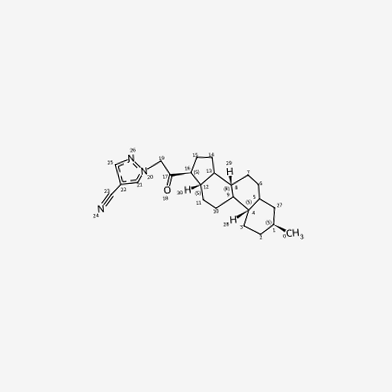 C[C@H]1CC[C@H]2C(CC[C@@H]3C2CC[C@H]2C3CC[C@@H]2C(=O)Cn2cc(C#N)cn2)C1